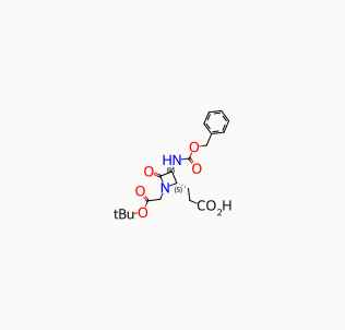 CC(C)(C)OC(=O)CN1C(=O)[C@H](NC(=O)OCc2ccccc2)[C@@H]1CCC(=O)O